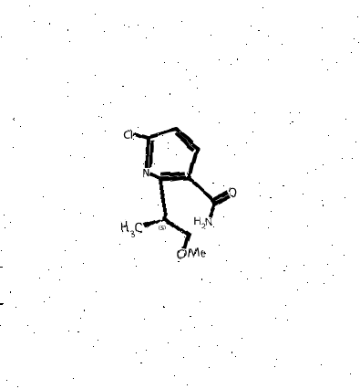 COC[C@@H](C)c1nc(Cl)ccc1C(N)=O